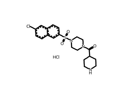 Cl.O=C(C1CCNCC1)N1CCN(S(=O)(=O)c2ccc3cc(Cl)ccc3c2)CC1